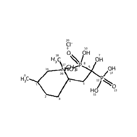 CC1CCC(CC(O)(P(=O)(O)O)P(=O)(O)O)[N+](C)(C)C1.[Cl-]